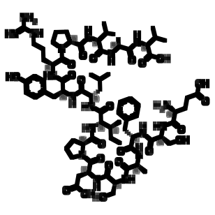 CC[C@H](C)[C@H](NC(=O)[C@@H]1CCCN1C(=O)[C@H](CC(=O)O)NC(=O)[C@H](CO)NC(=O)[C@H](C)NC(=O)[C@H](Cc1ccccc1)NC(=O)[C@H](CO)NC(=O)[C@@H](N)CCC(=O)O)C(=O)N[C@@H](CC(C)C)C(=O)N[C@@H](Cc1ccc(O)cc1)C(=O)N[C@@H](CCCNC(=N)N)C(=O)N1CCC[C@H]1C(=O)N[C@H](C(=O)N[C@@H](C)C(=O)N[C@H](C(=O)O)C(C)C)C(C)C